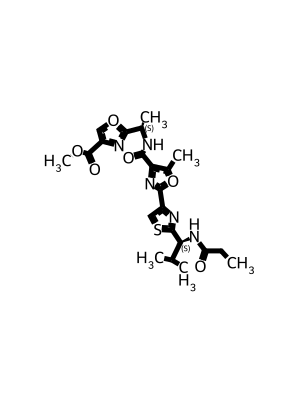 CCC(=O)N[C@H](c1nc(-c2nc(C(=O)N[C@@H](C)c3nc(C(=O)OC)co3)c(C)o2)cs1)C(C)C